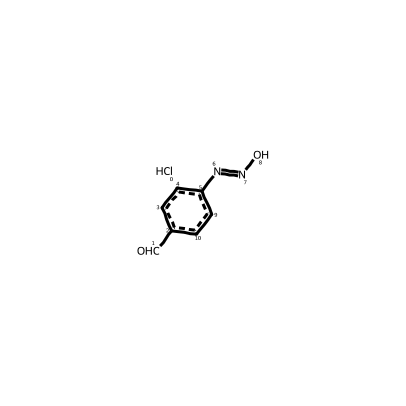 Cl.O=Cc1ccc(N=NO)cc1